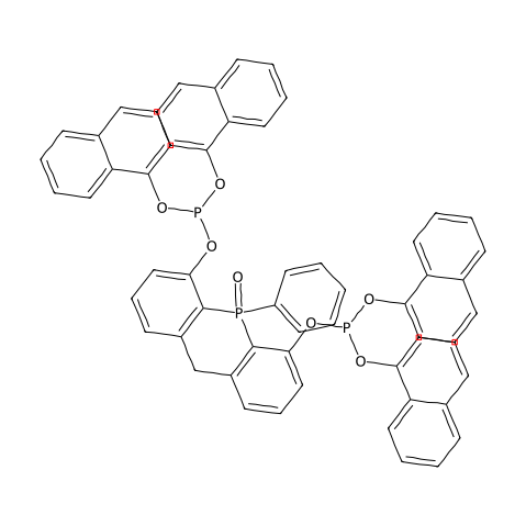 O=P1(c2ccccc2)c2c(cccc2OP(Oc2cccc3ccccc23)Oc2cccc3ccccc23)Cc2cccc(OP(Oc3cccc4ccccc34)Oc3cccc4ccccc34)c21